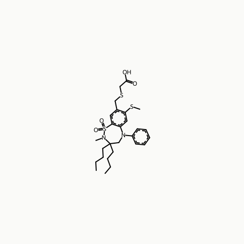 CCCCC1(CCCC)CN(c2ccccc2)c2cc(SC)c(CSCC(=O)O)cc2S(=O)(=O)N1C